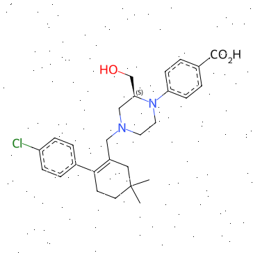 CC1(C)CCC(c2ccc(Cl)cc2)=C(CN2CCN(c3ccc(C(=O)O)cc3)[C@H](CO)C2)C1